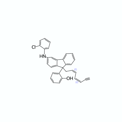 C#C/C=C\C=C/CC1(c2ccccc2O)c2ccccc2-c2cc(Nc3ccccc3Cl)ccc21